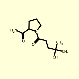 CC(C)(C)CCC(=O)N1CCCC1C(N)=O